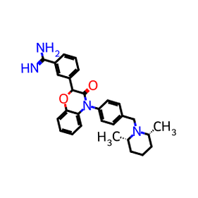 C[C@@H]1CCC[C@H](C)N1Cc1ccc(N2C(=O)C(c3cccc(C(=N)N)c3)Oc3ccccc32)cc1